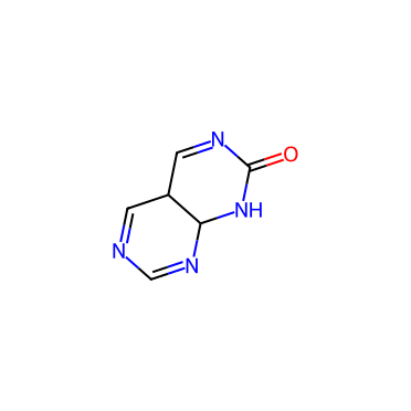 O=C1N=CC2C=NC=NC2N1